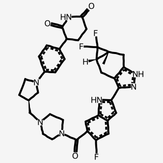 C[C@@]12Cc3[nH]nc(-c4cc5cc(F)c(C(=O)N6CCN(C[C@H]7CCN(c8ccc(C9CCC(=O)NC9=O)cc8)C7)CC6)cc5[nH]4)c3C[C@@H]1C2(F)F